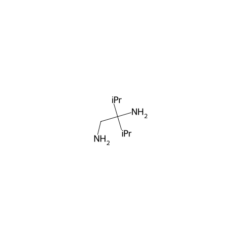 CC(C)C(N)(CN)C(C)C